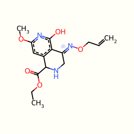 C=CCO/N=C1\CNC(C(=O)OCC)c2cc(OC)nc(O)c21